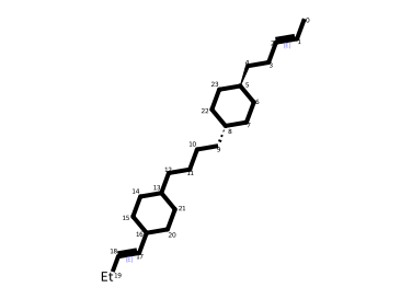 C/C=C/CC[C@H]1CC[C@H](CCCCC2CCC(/C=C/CC)CC2)CC1